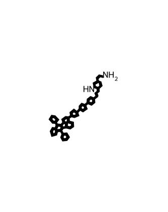 N=C1C=C(/C=C\CN)C=C/C1=C/C=C/c1ccc(-c2ccc(-c3ccc(-c4ccc5c6c(cccc46)-c4c-5c(-c5ccccc5)c5ccccc5c4-c4ccccc4)cc3)cc2)cc1